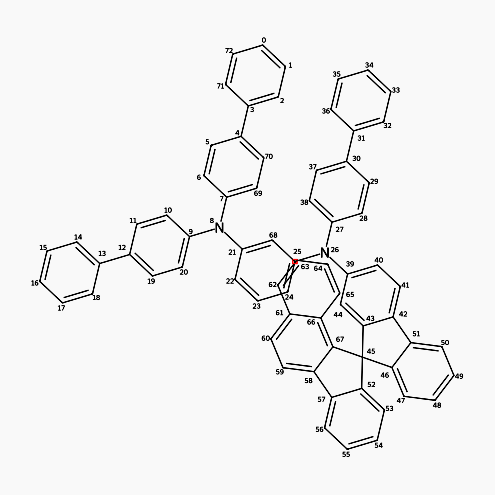 c1ccc(-c2ccc(N(c3ccc(-c4ccccc4)cc3)c3cccc(N(c4ccc(-c5ccccc5)cc4)c4ccc5c(c4)C4(c6ccccc6-5)c5ccccc5-c5ccc6ccccc6c54)c3)cc2)cc1